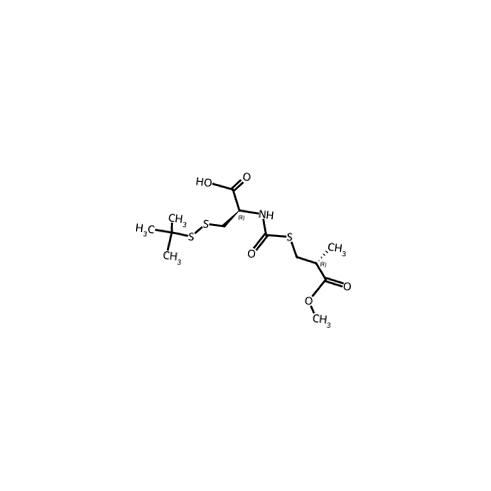 COC(=O)[C@@H](C)CSC(=O)N[C@@H](CSSC(C)(C)C)C(=O)O